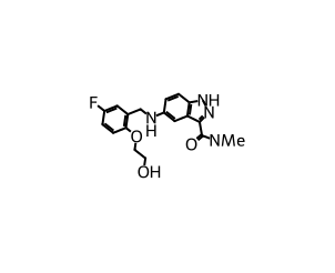 CNC(=O)c1n[nH]c2ccc(NCc3cc(F)ccc3OCCO)cc12